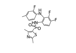 Cc1ccc(Nc2c(NS(=O)(=O)c3sc(C)nc3C)ccc(F)c2F)c(F)c1